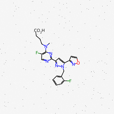 CN(CCCC(=O)O)c1nc(-c2cc(-c3ccon3)n(Cc3ccccc3F)n2)ncc1F